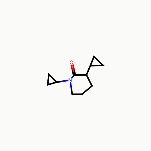 O=C1C(C2CC2)CCCN1C1CC1